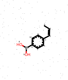 C/C=C\c1ccc(B(O)O)cc1